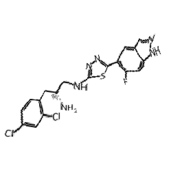 N[C@@H](CNc1nnc(-c2cc3cn[nH]c3cc2F)s1)Cc1ccc(Cl)cc1Cl